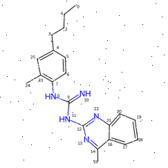 CCCCc1ccc(NC(=N)Nc2nc(C)c3ccccc3n2)c(C)c1